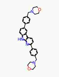 c1cc(-c2ccc3[nH]c4nc(-c5ccc(CN6CCOCC6)cc5)ccc4c3c2)ccc1CN1CCOCC1